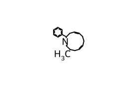 CC1C=NC(c2ccccc2)CC=CCCC=CC1